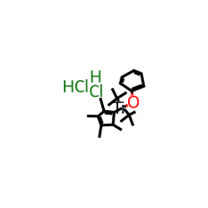 CC1=C(C)C(C)[C]([Ti]([O]c2ccccc2)([C](C)(C)C)[C](C)(C)C)=C1C.Cl.Cl